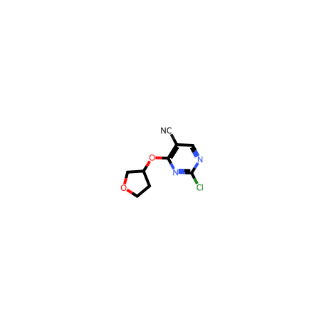 N#Cc1cnc(Cl)nc1OC1CCOC1